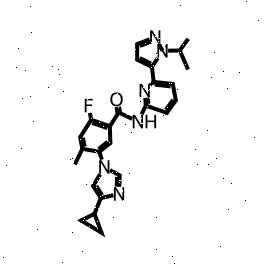 Cc1cc(F)c(C(=O)Nc2cccc(-c3ccnn3C(C)C)n2)cc1-n1cnc(C2CC2)c1